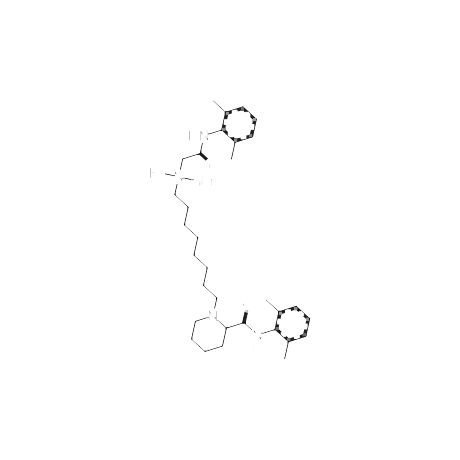 CCC[N+](CC)(CCCCCCCCN1CCCCC1C(=O)Nc1c(C)cccc1C)CC(=O)Nc1c(C)cccc1C